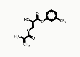 C=C(C)C(=O)OCC(C#N)C(=O)Oc1cccc(C(F)(F)F)c1